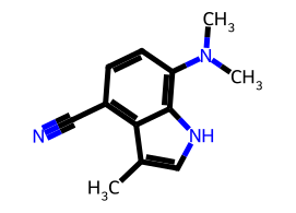 Cc1c[nH]c2c(N(C)C)ccc(C#N)c12